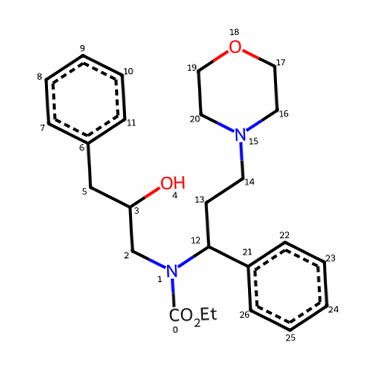 CCOC(=O)N(CC(O)Cc1ccccc1)C(CCN1CCOCC1)c1ccccc1